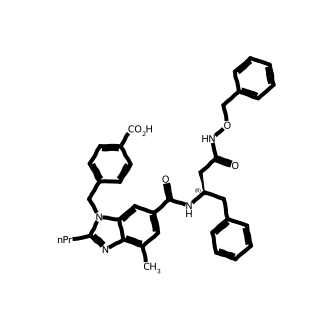 CCCc1nc2c(C)cc(C(=O)N[C@@H](CC(=O)NOCc3ccccc3)Cc3ccccc3)cc2n1Cc1ccc(C(=O)O)cc1